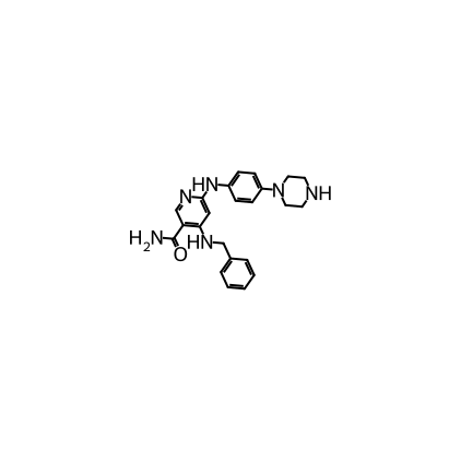 NC(=O)c1cnc(Nc2ccc(N3CCNCC3)cc2)cc1NCc1ccccc1